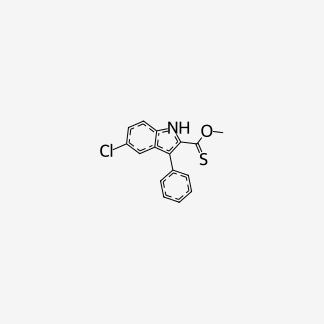 COC(=S)c1[nH]c2ccc(Cl)cc2c1-c1ccccc1